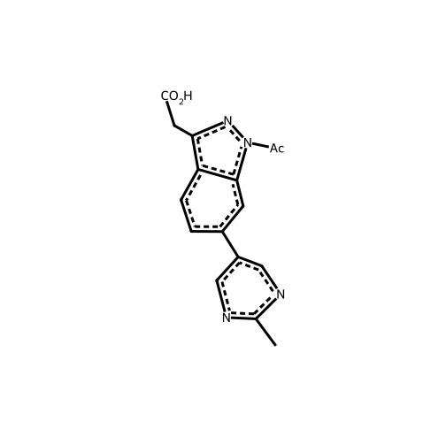 CC(=O)n1nc(CC(=O)O)c2ccc(-c3cnc(C)nc3)cc21